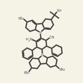 CC(C)(C)C1C=C2C3CC(C(C)(C)S)CC=C3N(C3=C(N)C(C4C=CC=CC4)C(N4C5CCC(C(C)(C)C)CC5C5CC(C(C)(C)C)CCC54)C(C4C=CCCC4)C3C#N)C2CC1